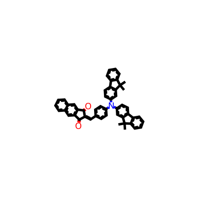 CC1(C)c2ccccc2-c2ccc(N(c3ccc(C=C4C(=O)c5cc6ccccc6cc5C4=O)cc3)c3ccc4c(c3)C(C)(C)c3ccccc3-4)cc21